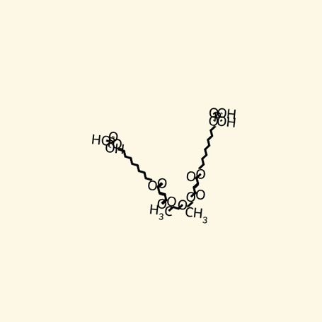 CC(COC(=O)/C=C/C(=O)OCCCCCCCCCCOP(=O)(O)O)OCC(C)OC(=O)/C=C/C(=O)OCCCCCCCCCCOP(=O)(O)O